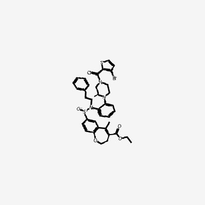 CCOC(=O)C1=C(C)c2cc([S+]([O-])N(CCc3ccccc3)c3ccccc3N3CCN(C(=O)c4sccc4Br)C[C@@H]3C)ccc2OCC1